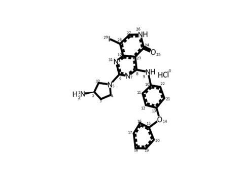 Cl.N[C@@H]1CCN(c2nc(Nc3ccc(Oc4ccccc4)cc3)c3c(=O)[nH]cc(I)c3n2)C1